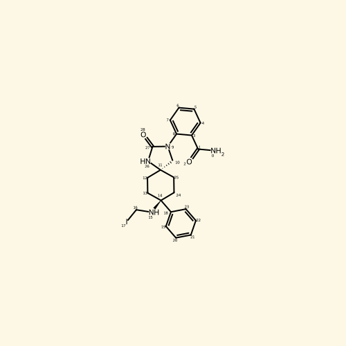 NC(=O)c1ccccc1N1C[C@]2(CC[C@@](NCI)(c3ccccc3)CC2)NC1=O